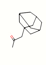 CC(=O)CC12CC3CC(CC(C3)C1)C2